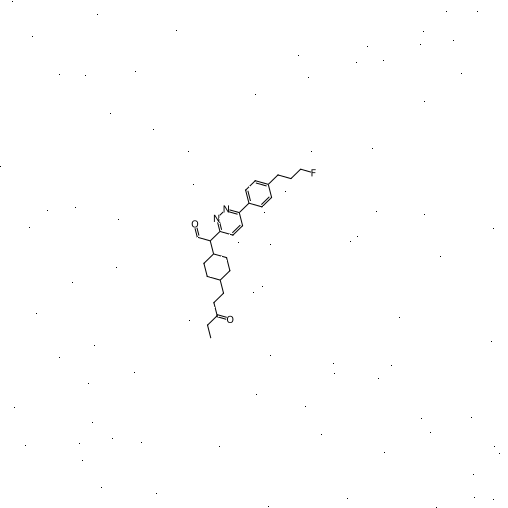 CCC(=O)CCC1CCC(C(C=O)c2ccc(-c3ccc(CCCF)cc3)nn2)CC1